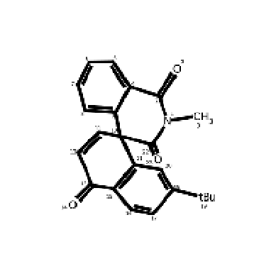 CN1C(=O)c2ccccc2C2(C=CC(=O)c3ccc(C(C)(C)C)cc32)C1=O